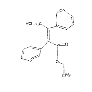 CCOC(=O)C(=C(C)c1ccccc1)c1ccccc1.Cl